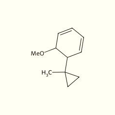 COC1C=CC=CC1C1(C)CC1